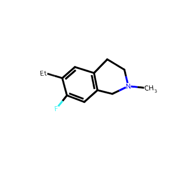 CCc1cc2c(cc1F)CN(C)CC2